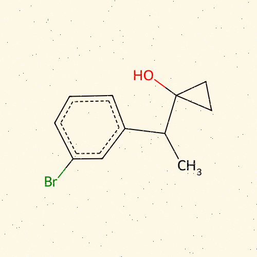 CC(c1cccc(Br)c1)C1(O)CC1